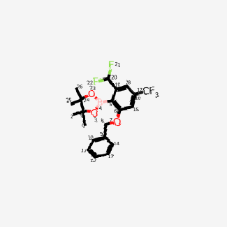 CC1(C)OB(c2c(OCc3ccccc3)cc(C(F)(F)F)cc2C(F)F)OC1(C)C